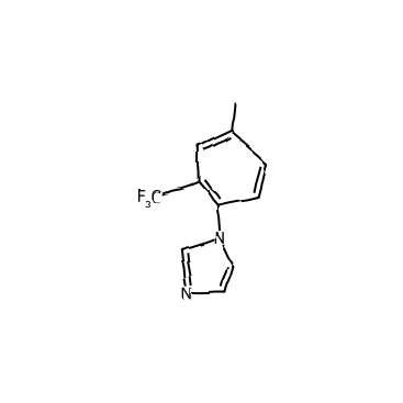 Cc1ccc(-n2ccnc2)c(C(F)(F)F)c1